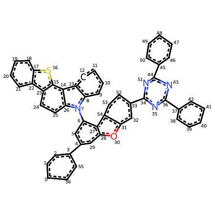 c1ccc(-c2cc(-n3c4ccccc4c4c5sc6ccccc6c5ccc43)c3c(c2)oc2cc(-c4nc(-c5ccccc5)nc(-c5ccccc5)n4)ccc23)cc1